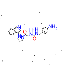 Nc1ccc(CNC(=O)NCC(=O)N2CCCN2c2cncc3ccccc23)cc1